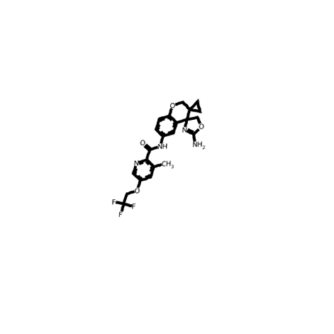 Cc1cc(OCC(F)(F)F)cnc1C(=O)Nc1ccc2c(c1)C1(COC(N)=N1)C1(CC1)CO2